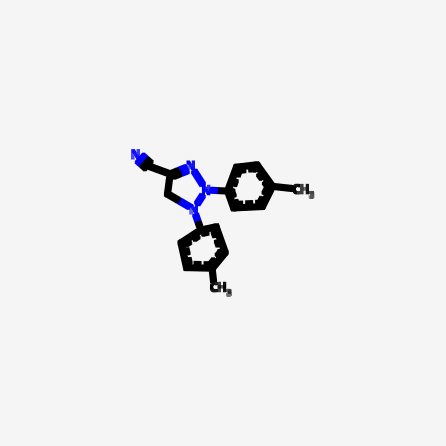 Cc1ccc(N2CC(C#N)=NN2c2ccc(C)cc2)cc1